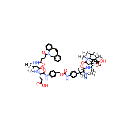 CNC(C(=O)N[C@H](C(=O)N(C)[C@H](/C=C(\C)C(=O)O)C(C)C)C(C)(C)C)C(C)(C)c1ccc(NC(=O)OCc2ccc(NC(=O)[C@H](CCC(=O)O)NC(=O)[C@@H](NC(=O)CCC(=O)N3Cc4ccccc4C#Cc4ccccc43)C(C)C)cc2)cc1